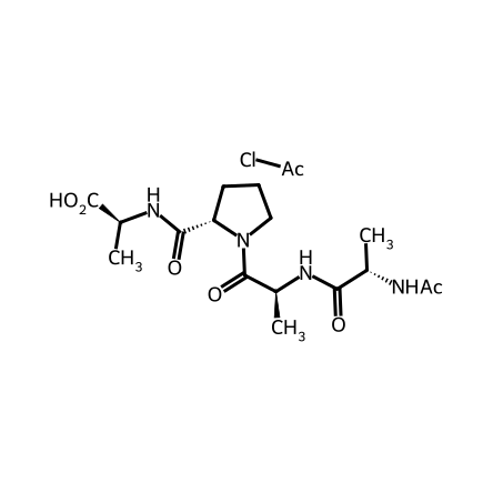 CC(=O)Cl.CC(=O)N[C@@H](C)C(=O)N[C@@H](C)C(=O)N1CCC[C@H]1C(=O)N[C@@H](C)C(=O)O